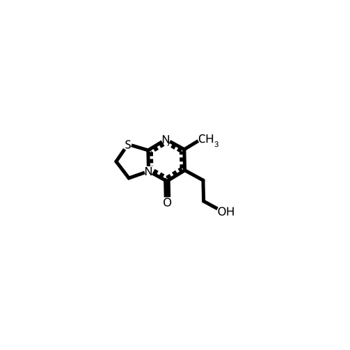 Cc1nc2n(c(=O)c1CCO)CCS2